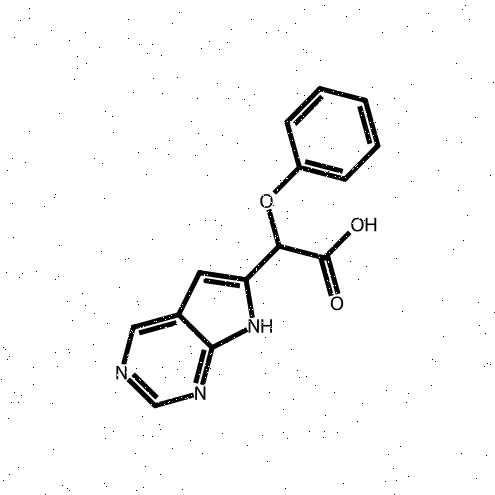 O=C(O)C(Oc1ccccc1)c1cc2cncnc2[nH]1